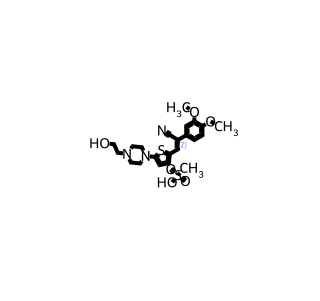 COc1ccc(/C(C#N)=C/c2ccc(N3CCN(CCO)CC3)s2)cc1OC.CS(=O)(=O)O